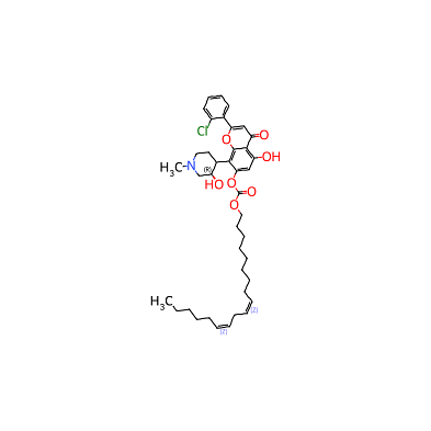 CCCCC/C=C\C/C=C\CCCCCCCCOC(=O)Oc1cc(O)c2c(=O)cc(-c3ccccc3Cl)oc2c1C1CCN(C)C[C@@H]1O